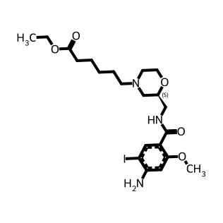 CCOC(=O)CCCCCN1CCO[C@@H](CNC(=O)c2cc(I)c(N)cc2OC)C1